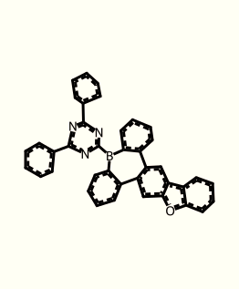 c1ccc(-c2nc(B3c4ccccc4-c4cc5oc6ccccc6c5cc4-c4ccccc43)nc(-c3ccccc3)n2)cc1